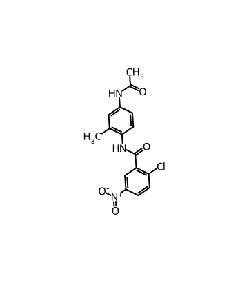 CC(=O)Nc1ccc(NC(=O)c2cc([N+](=O)[O-])ccc2Cl)c(C)c1